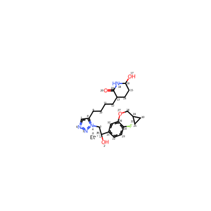 CC[C@](O)(Cn1nncc1CCCCC1CCC(O)NC1=O)c1ccc(F)c(OCC2CC2)c1